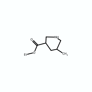 CCOC(=O)C1CNCC(C)C1